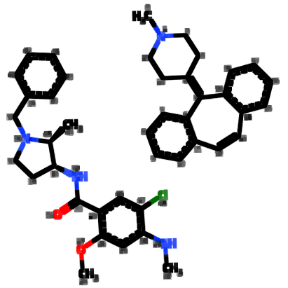 CN1CCC(=C2c3ccccc3C=Cc3ccccc32)CC1.CNc1cc(OC)c(C(=O)N[C@H]2CCN(Cc3ccccc3)[C@H]2C)cc1Cl